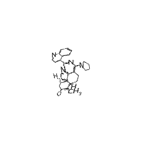 C[C@H]1C(=O)CC[C@@]2(C)c3nc(-c4ccnc5ccccc45)nc(N4CCCC4)c3CC[C@H]12